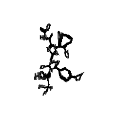 CC(=O)NC(C)c1nc(Cn2nc(-c3ccc(Cl)cc3)n(CC(O)C(F)(F)F)c2=O)nn1-c1ncccc1Cl